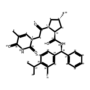 Cc1cn(CC(=O)N2C[C@H](F)C[C@H]2C(=O)N[C@@H](c2ccccc2)c2ccc(C(C)C)c(F)c2)c(=O)[nH]c1=O